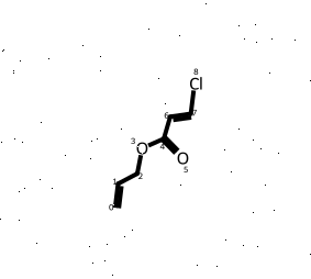 C=CCOC(=O)C=CCl